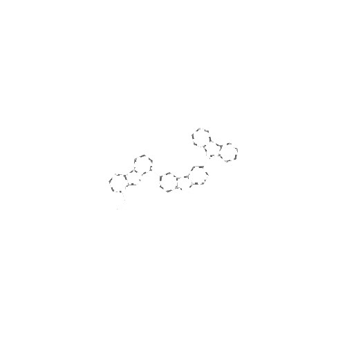 NCc1cccc2c1sc1c(-c3ccc4oc5ccc(-n6c7ccccc7c7ccccc76)cc5c4c3)cccc12